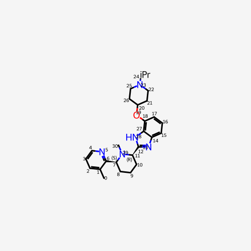 Cc1cccnc1[C@@H]1CCC[C@H](c2nc3cccc(OC4CCN(C(C)C)CC4)c3[nH]2)N1C